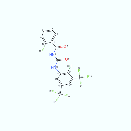 O=C(NC(=O)c1ccccc1F)Nc1cc(C(F)(F)F)cc(C(F)(F)F)c1Cl